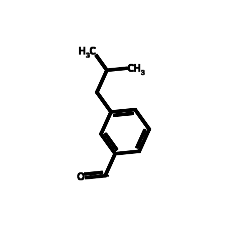 CC(C)Cc1cccc([C]=O)c1